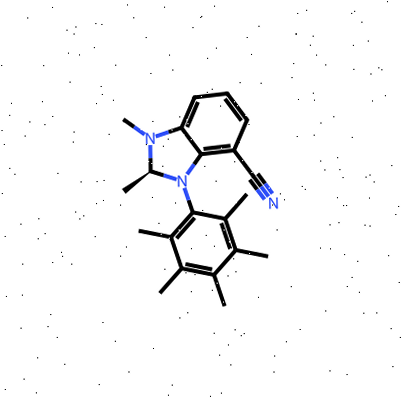 Cc1c(C)c(C)c(N2c3c(C#N)cccc3N(C)[C@@H]2C)c(C)c1C